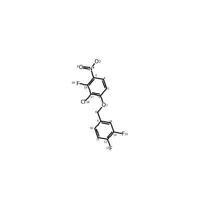 O=[N+]([O-])c1ccc(OCc2ccc(F)c(F)c2)c(Cl)c1F